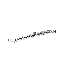 O=C(O)CCCCCCCCCCCCCCC(=O)CCCCCCCCCC(=O)O